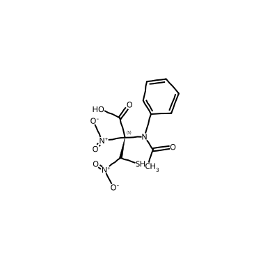 CC(=O)N(c1ccccc1)[C@](C(=O)O)(C(S)[N+](=O)[O-])[N+](=O)[O-]